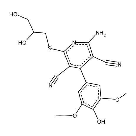 COc1cc(-c2c(C#N)c(N)nc(SCC(O)CO)c2C#N)cc(OC)c1O